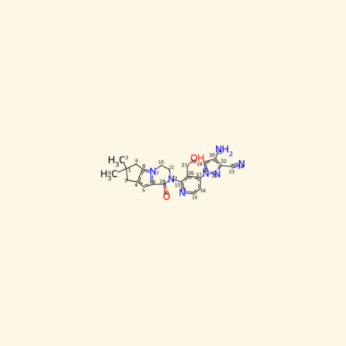 CC1(C)Cc2cc3n(c2C1)CCN(c1nccc(-n2cc(N)c(C#N)n2)c1CO)C3=O